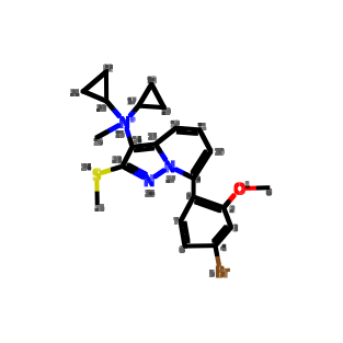 COc1cc(Br)ccc1-c1cccc2c([N+](C)(C3CC3)C3CC3)c(SC)nn12